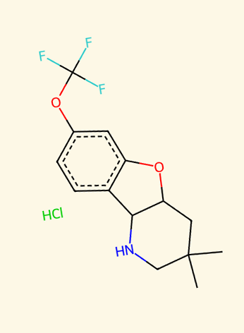 CC1(C)CNC2c3ccc(OC(F)(F)F)cc3OC2C1.Cl